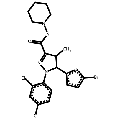 CC1C(C(=O)NN2CCCCC2)=NN(c2ccc(Cl)cc2Cl)C1c1ccc(Br)s1